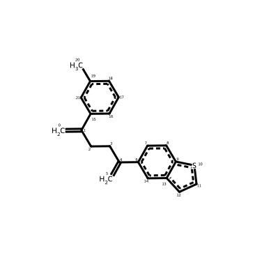 C=C(CCC(=C)c1ccc2sccc2c1)c1cccc(C)c1